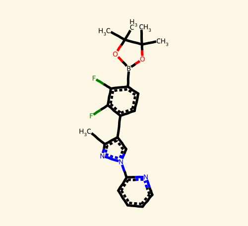 Cc1nn(-c2ccccn2)cc1-c1ccc(B2OC(C)(C)C(C)(C)O2)c(F)c1F